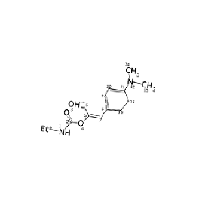 CCNC(=O)O/C(C=O)=C/C1=CC=C(N(C)C)CC1